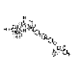 CC[C@@H]([C@H](C)OC(=O)[C@H](CO[Si](C)(C)C(C)(C)C)NC(=O)OC(C)(C)C)n1ncn(-c2ccc(N3CCN(c4ccc(OC[C@@H]5CO[C@@](Cn6cncn6)(c6ccc(F)cc6F)C5)cc4)CC3)cc2)c1=O